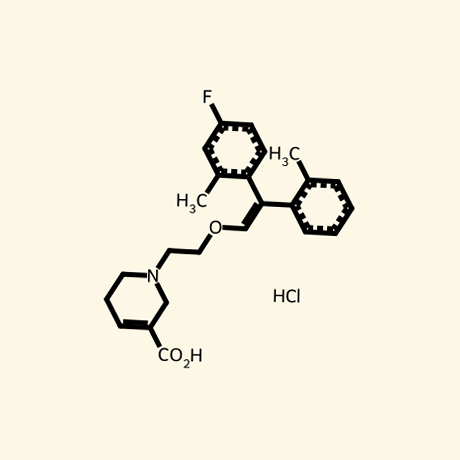 Cc1ccccc1C(=COCCN1CCC=C(C(=O)O)C1)c1ccc(F)cc1C.Cl